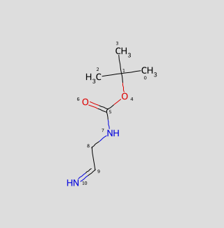 CC(C)(C)OC(=O)NCC=N